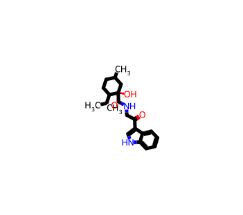 CC1CCC(C(C)C)[C@@](O)(C(=O)NCC(=O)c2c[nH]c3ccccc23)C1